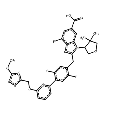 COc1nnc(COc2cccc(-c3cc(F)c(Cc4nc5c(F)cc(C(=O)O)cc5n4[C@@H]4COCC4(C)C)cc3F)n2)s1